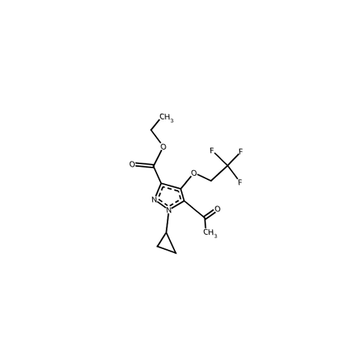 CCOC(=O)c1nn(C2CC2)c(C(C)=O)c1OCC(F)(F)F